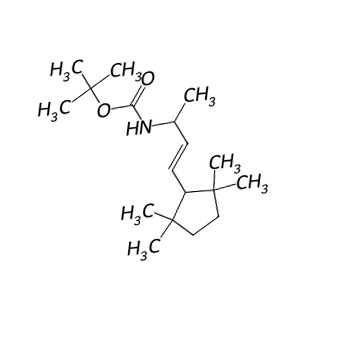 CC(C=CC1C(C)(C)CCC1(C)C)NC(=O)OC(C)(C)C